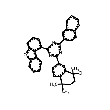 CC1(C)CCC(C)(C)c2cc(-c3nc(-c4ccc5ccccc5c4)nc(-c4cccc5oc6ccccc6c45)n3)ccc21